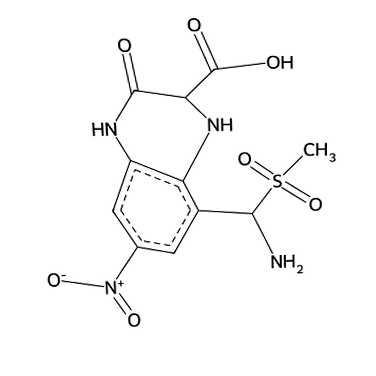 CS(=O)(=O)C(N)c1cc([N+](=O)[O-])cc2c1NC(C(=O)O)C(=O)N2